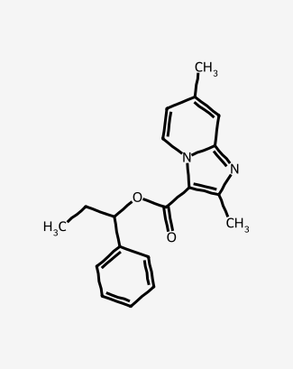 CCC(OC(=O)c1c(C)nc2cc(C)ccn12)c1ccccc1